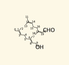 CC(C)=CCC/C(C)=C/CO.CC(C)=CCCC(C)=CC=O